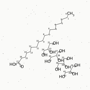 CCCCCCCCCCCCCCCCCC(=O)O.OCC(O)CO.OCC(O)CO.OCC(O)CO.OCC(O)CO